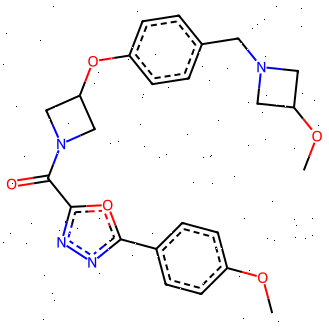 COc1ccc(-c2nnc(C(=O)N3CC(Oc4ccc(CN5CC(OC)C5)cc4)C3)o2)cc1